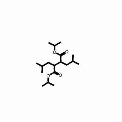 CC(C)CC(C(=O)OC(C)C)C(CC(C)C)C(=O)OC(C)C